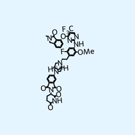 COc1cc(CCN2C[C@@H]3C[C@H]2CN3c2ccc3c(c2)C(=O)N(C2CCC(=O)NC2=O)C3=O)c(F)cc1Nc1ncc(C(F)(F)F)c(Oc2cccc3c2C(=O)N(C)C3)n1